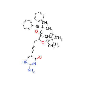 CC(C)(C)[Si](C)(C)OC(CC#Cc1c[nH]c(N)nc1=O)CO[Si](c1ccccc1)(c1ccccc1)C(C)(C)C